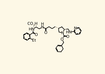 CCc1ccccc1C(=O)N[C@@H](CNC(=O)CCC[C@@H]1C[C@@H](CNc2ccccn2)N(C(=O)OCC2=CC=CCC2)C1)C(=O)O